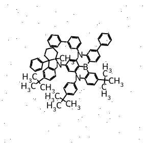 CC(C)(C)c1ccc(N2c3ccc(C(C)(C)C)cc3B3c4ccc(-c5ccccc5)cc4N(c4cccc(-c5ccccc5)c4)c4cc(N5c6ccc(C(C)(C)C)cc6C6(c7ccccc7)CCCCC56C)cc2c43)cc1